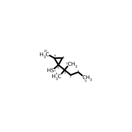 CCCC(C)(C)C1(S)CC1C